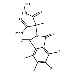 CNC(=O)C(C)(C(=O)NC=O)N1C(=O)c2c(F)c(F)c(F)c(F)c2C1=O